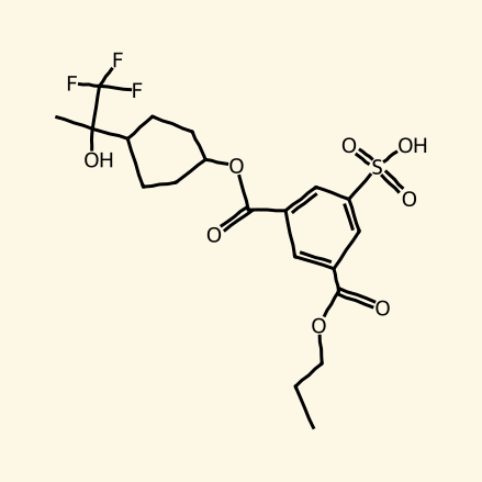 CCCOC(=O)c1cc(C(=O)OC2CCC(C(C)(O)C(F)(F)F)CC2)cc(S(=O)(=O)O)c1